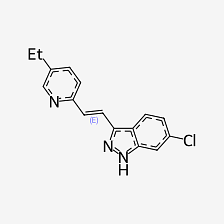 CCc1ccc(/C=C/c2n[nH]c3cc(Cl)ccc23)nc1